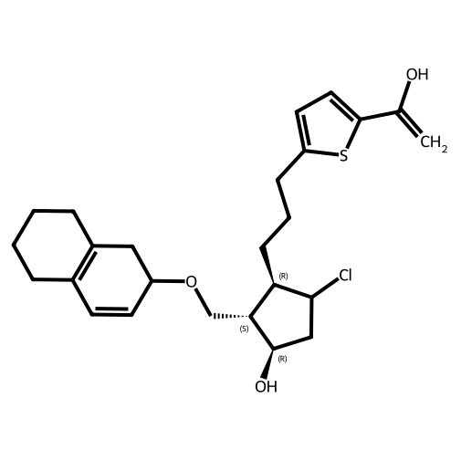 C=C(O)c1ccc(CCC[C@H]2C(Cl)C[C@@H](O)[C@@H]2COC2C=CC3=C(CCCC3)C2)s1